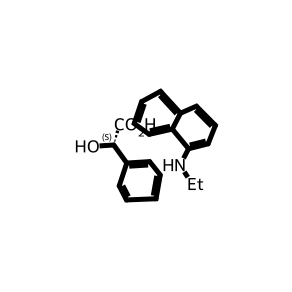 CCNc1cccc2ccccc12.O=C(O)[C@@H](O)c1ccccc1